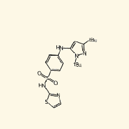 CC(C)(C)c1cc(Nc2ccc(S(=O)(=O)Nc3nccs3)cc2)n(C(C)(C)C)n1